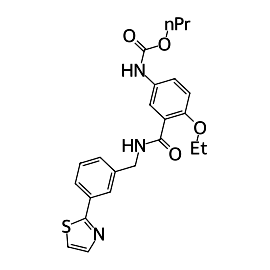 CCCOC(=O)Nc1ccc(OCC)c(C(=O)NCc2cccc(-c3nccs3)c2)c1